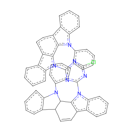 Clc1nc(-n2c3c(c4ccccc42)C=CC2c4ccccc4N(c4ccccc4)C32)nc(-n2c3ccccc3c3ccc4c5ccccc5n(-c5ccccc5)c4c32)n1